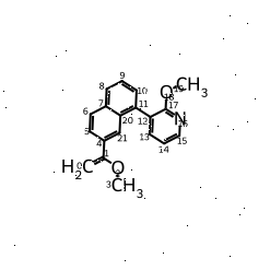 C=C(OC)c1ccc2cccc(-c3cccnc3OC)c2c1